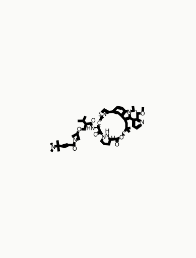 CCn1c(-c2cccnc2[C@H](C)OC)c2c3cc(ccc31)-c1csc(n1)C[C@H](NC(=O)C(COC1CN(C(=O)C#CC(C)(C)N(C)C)C1)C(C)C)C(=O)N1CCC[C@H](N1)C(=O)OCC(C)(C)C2